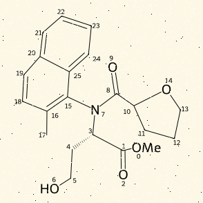 COC(=O)[C@H](CCO)N(C(=O)C1CCCO1)c1c(C)ccc2ccccc12